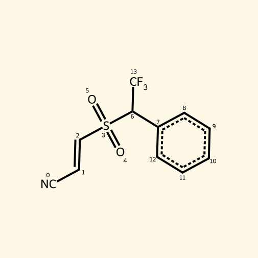 N#CC=CS(=O)(=O)C(c1ccccc1)C(F)(F)F